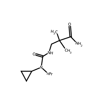 CCCN(C(=O)NCC(C)(C)C(N)=O)C1CC1